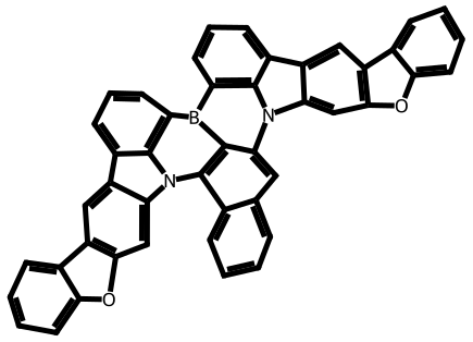 c1ccc2c3c4c(cc2c1)-n1c2cc5oc6ccccc6c5cc2c2cccc(c21)B4c1cccc2c4cc5c(cc4n-3c12)oc1ccccc15